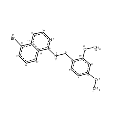 COc1ccc(CNc2nccc3c(Br)cccc23)c(OC)c1